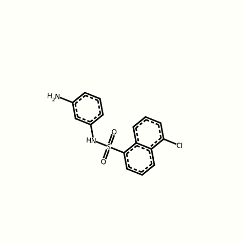 Nc1cccc(NS(=O)(=O)c2cccc3c(Cl)cccc23)c1